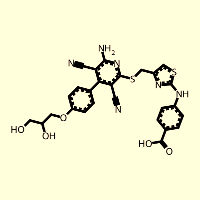 N#Cc1c(N)nc(SCc2csc(Nc3ccc(C(=O)O)cc3)n2)c(C#N)c1-c1ccc(OCC(O)CO)cc1